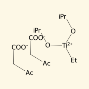 CC(=O)CC(=O)[O-].CC(=O)CC(=O)[O-].C[CH2][Ti+2]([O]C(C)C)[O]C(C)C